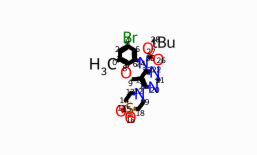 Cc1cc(Br)cc2c1OCc1c(N3CCS(=O)(=O)CC3)ncnc1N2C(=O)OC(C)(C)C